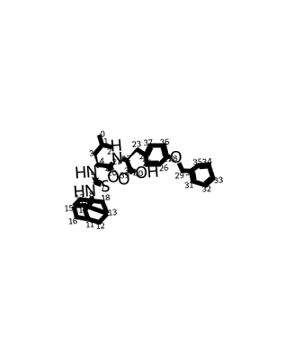 CC(C)C[C@H](NC(=S)NC12CC3CC(CC(C3)C1)C2)C(=O)N[C@@H](Cc1ccc(OCc2ccccc2)cc1)C(=O)O